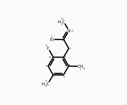 CC/C(Cc1c(C)cc(C)cc1F)=N\C